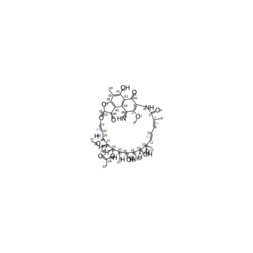 COC1=C2NC(=O)/C(C)=C\C=C\[C@H](C)[C@H](O)[C@@H](C)[C@@H](O)[C@@H](C)[C@H](OC(C)=O)[C@H](C)[C@@H](OC)/C=C/O[C@@]3(C)Oc4c(C)c(O)c(c(c4C3=O)C1=N)C2=O